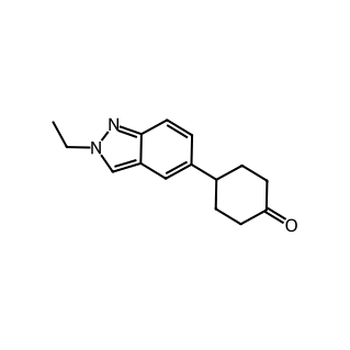 CCn1cc2cc(C3CCC(=O)CC3)ccc2n1